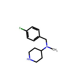 CN(Cc1ccc(F)cc1)C1CCNCC1